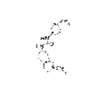 CN1CCc2ccc(NC(=O)Nc3ccc(C(F)(F)F)cc3)cc2C1